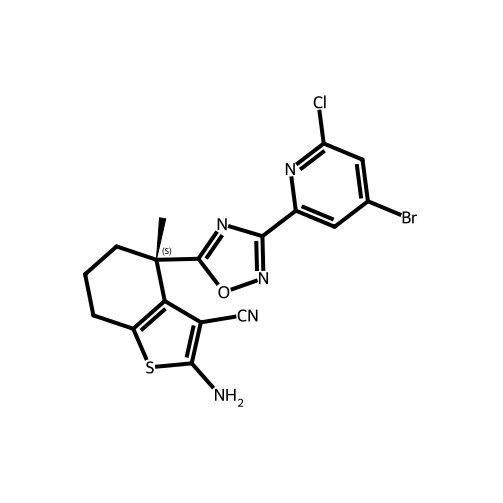 C[C@]1(c2nc(-c3cc(Br)cc(Cl)n3)no2)CCCc2sc(N)c(C#N)c21